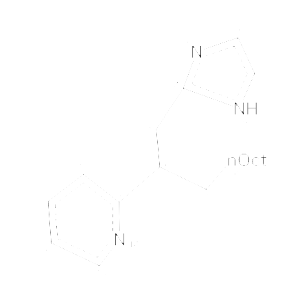 CCCCCCCCCC(Cc1ncc[nH]1)c1ccccn1